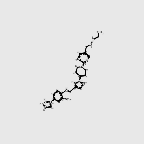 CCOOCc1cnc(N2CCC(n3ncc(COc4ccc(-n5cnnn5)cc4F)n3)CC2)nc1